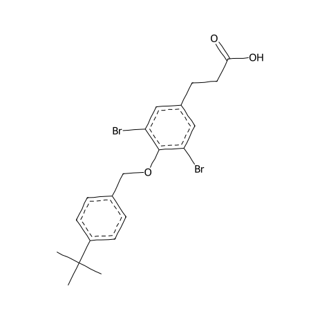 CC(C)(C)c1ccc(COc2c(Br)cc(CCC(=O)O)cc2Br)cc1